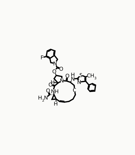 Cc1sc(N[C@H]2CCCCC/C=C\[C@@H]3C[C@@]3(C(N)=O)NC(=O)[C@@H]3C[C@@H](OC(=O)N4Cc5cccc(F)c5C4)CN3C2=O)nc1-c1ccccc1